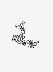 CC(C)(C)c1ccc(O)c(-n2nc3ccc(C(=O)OCC4OC(OC(=O)c5ccc6nn(-c7cc(C(C)(C)C)ccc7O)nc6c5)C(O)C(O)C4O)cc3n2)c1